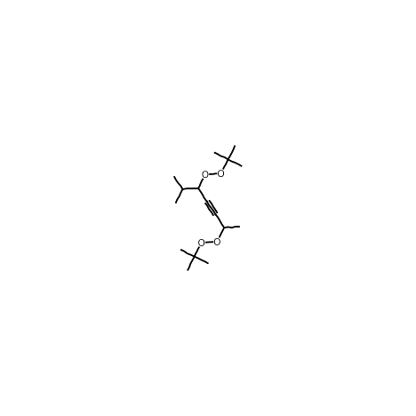 CC(C#CC(OOC(C)(C)C)C(C)C)OOC(C)(C)C